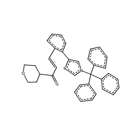 O=C(/C=C/c1ccccc1-c1cn(C(c2ccccc2)(c2ccccc2)c2ccccc2)cn1)C1CCOCC1